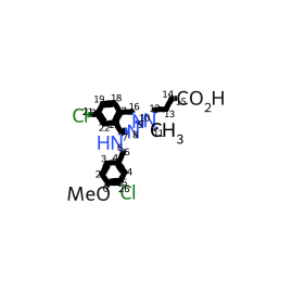 COc1ccc(CNC2=NN(N(C)CCCC(=O)O)Cc3ccc(Cl)cc32)cc1Cl